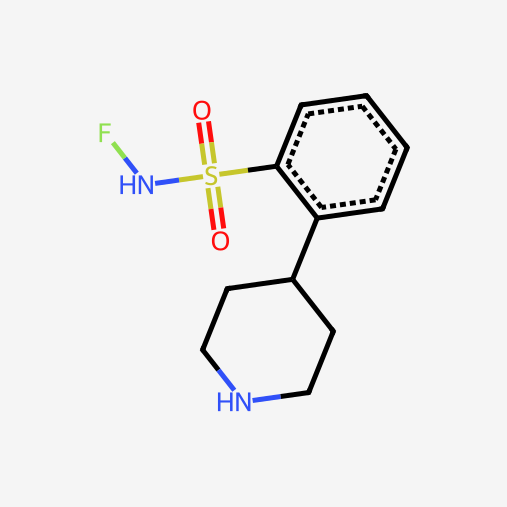 O=S(=O)(NF)c1ccccc1C1CCNCC1